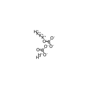 [H+].[H+].[H+].[K+].[K+].[K+].[O-]B([O-])[O-].[O-]B([O-])[O-]